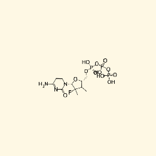 CC1[C@@H](COP(=O)(O)OP(=O)(O)OP(=O)(O)O)O[C@@H](n2ccc(N)nc2=O)C1(C)F